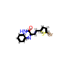 O=c1[nH]c2ccccc2nc1/C=C/c1ccc(Br)s1